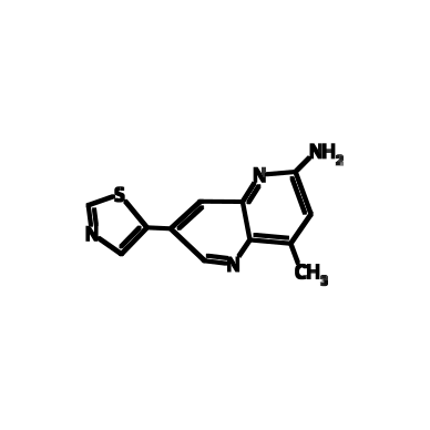 Cc1cc(N)nc2cc(-c3cncs3)cnc12